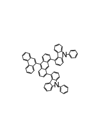 c1ccc(-n2c3ccccc3c3c(-c4cccc5c(-c6cc7ccccc7c7ccccc67)c6cccc(-c7cccc8c7c7ccccc7n8-c7ccccc7)c6cc45)cccc32)cc1